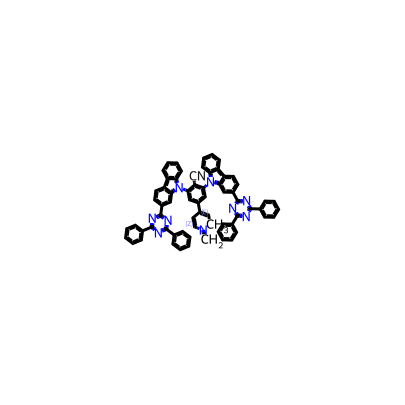 C=N/C=C\C(=C/C)c1cc(-n2c3ccccc3c3ccc(-c4nc(-c5ccccc5)nc(-c5ccccc5)n4)cc32)c(C#N)c(-n2c3ccccc3c3ccc(-c4nc(-c5ccccc5)nc(-c5ccccc5)n4)cc32)c1